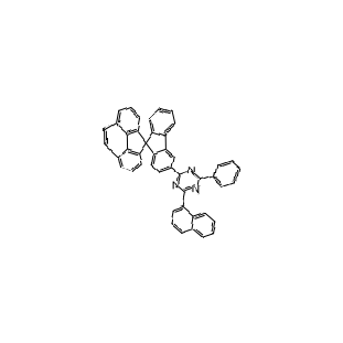 c1ccc(-c2nc(-c3ccc4c(c3)-c3ccccc3C43c4cccc5ccc6cccc3c6c45)nc(-c3cccc4ccccc34)n2)cc1